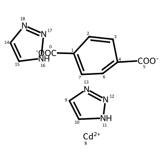 O=C([O-])c1ccc(C(=O)[O-])cc1.[Cd+2].c1c[nH]nn1.c1c[nH]nn1